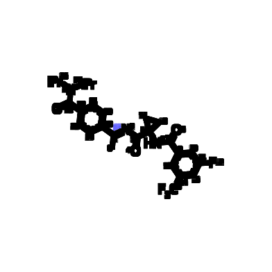 C/C(=N\C(=O)C1(NC(=O)c2cc(F)cc(C(F)(F)F)c2)CC1)c1ccc(C(=O)N(C(C)C)C(C)C)cc1